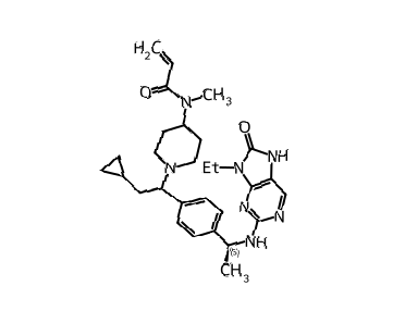 C=CC(=O)N(C)C1CCN(C(CC2CC2)c2ccc([C@H](C)Nc3ncc4[nH]c(=O)n(CC)c4n3)cc2)CC1